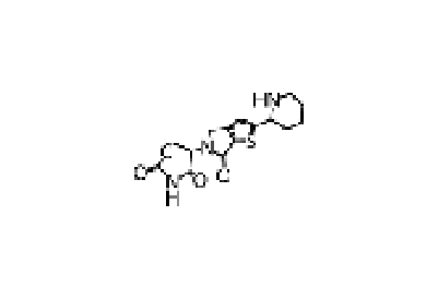 O=C1CCC(N2Cc3cc(C4CCCCN4)sc3C2=O)C(=O)N1